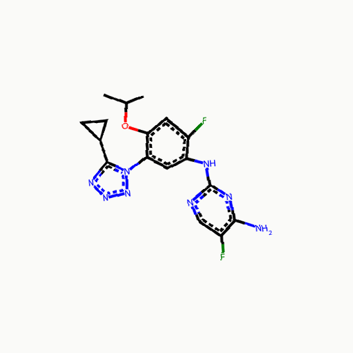 CC(C)Oc1cc(F)c(Nc2ncc(F)c(N)n2)cc1-n1nnnc1C1CC1